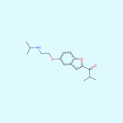 CC(C)NCCOc1ccc2oc(C(=O)C(C)C)cc2c1